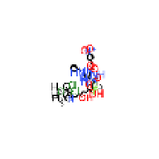 C/N=N\C(=C/NCc1ccccc1)C1=CN(C[C@@H]2OCC(CCC(O)CC/C(=N/C)C(Cl)C(C)C(C)(Cl)CCl)C(O)C2(F)F)C(=O)NC1NC(=O)OCc1ccc([N+](=O)[O-])cc1